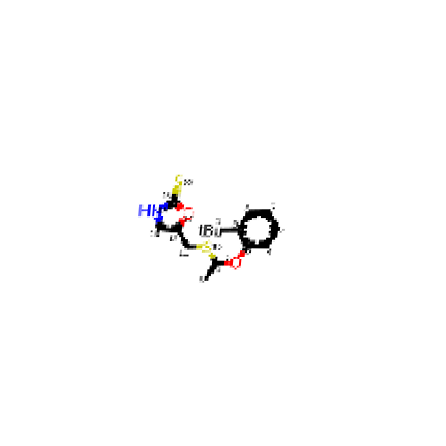 CC(Oc1ccccc1C(C)(C)C)SCc1c[nH]c(=S)o1